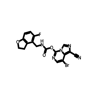 N#Cc1ncn2c(OC(=O)NCc3c(F)ccc4c3CCO4)ncc(Br)c12